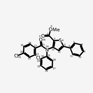 COC(=O)c1sc(-c2ccccc2)cc1N(C(=O)c1ccc(Cl)cc1Cl)c1ccccc1